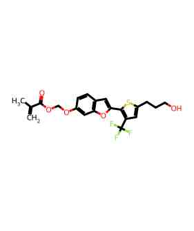 C=C(C)C(=O)OCOc1ccc2cc(-c3sc(CCCO)cc3C(F)(F)F)oc2c1